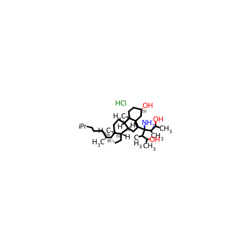 CC(C)CCC[C@@H](C)[C@H]1CC[C@H]2[C@@H]3CC(C(N)(C(C)C(C)O)C(C)C(C)O)=C4C[C@@H](O)CC[C@]4(C)[C@H]3CC[C@]12C.Cl